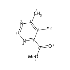 COC(=O)c1ncnc(C)c1F